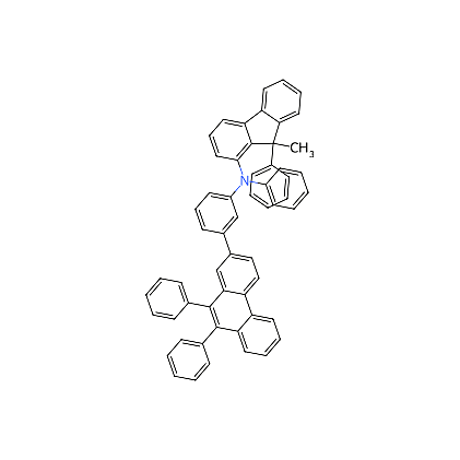 CC1(c2ccccc2)c2ccccc2-c2cccc(N(c3ccccc3)c3cccc(-c4ccc5c(c4)c(-c4ccccc4)c(-c4ccccc4)c4ccccc45)c3)c21